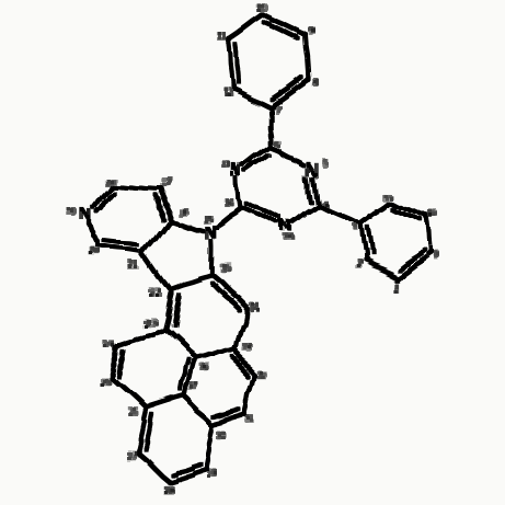 c1ccc(-c2nc(-c3ccccc3)nc(-n3c4ccncc4c4c5ccc6cccc7ccc(cc43)c5c76)n2)cc1